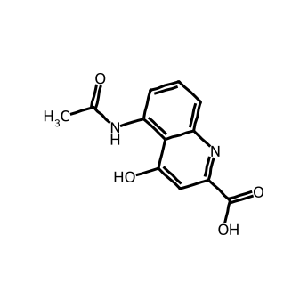 CC(=O)Nc1cccc2nc(C(=O)O)cc(O)c12